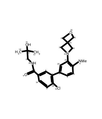 CNc1ccc(-c2cc(C(=O)NCC(C)(C)O)ccc2Cl)cc1N1CC2(COC2)C1